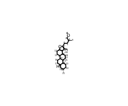 COC[C@@H](C)CCC1=C(C)C2C(CCC3C4CC[C@@H]5C[C@@H](C)CC[C@]5(C)C4CC[C@@]32C)O1